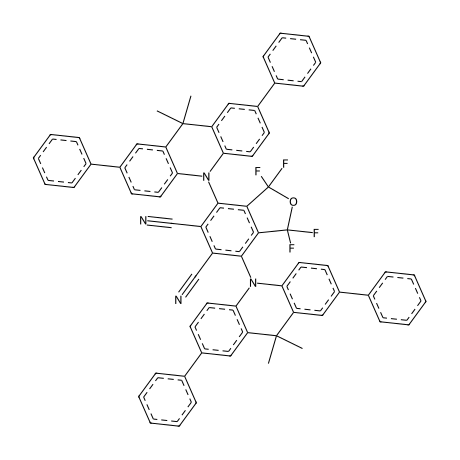 CC1(C)c2cc(-c3ccccc3)ccc2N(c2c(C#N)c(C#N)c(N3c4ccc(-c5ccccc5)cc4C(C)(C)c4cc(-c5ccccc5)ccc43)c3c2C(F)(F)OC3(F)F)c2ccc(-c3ccccc3)cc21